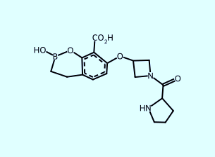 O=C(O)c1c(OC2CN(C(=O)C3CCCN3)C2)ccc2c1OB(O)CC2